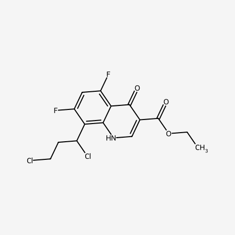 CCOC(=O)c1c[nH]c2c(C(Cl)CCCl)c(F)cc(F)c2c1=O